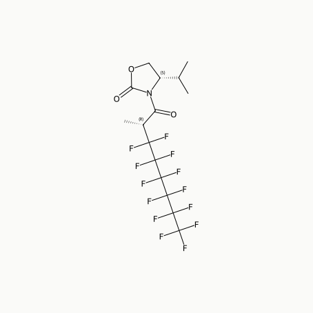 CC(C)[C@H]1COC(=O)N1C(=O)[C@@H](C)C(F)(F)C(F)(F)C(F)(F)C(F)(F)C(F)(F)C(F)(F)F